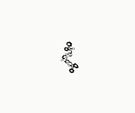 O=C(/C=C\C(=O)ON1CCOC(Cn2c(=O)n(-c3ccccc3)c3ccccc32)C1)ON1CCOC(Cn2c(=O)n(-c3ccccc3)c3ccccc32)C1